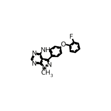 Cn1nc(-c2ccc(Oc3ccccc3F)cc2)c2c(N)ncnc21